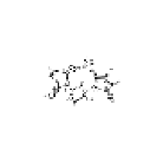 O=C1C=CC(=O)N1c1cccc(N2C(=O)C=CC2=O)c1.[S]